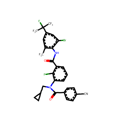 N#Cc1ccc(C(=O)N(CC2CC2)c2cccc(C(=O)Nc3c(Br)cc(C(F)(C(F)(F)F)C(F)(F)F)cc3C(F)(F)F)c2F)cc1